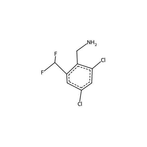 NCc1c(Cl)cc(Cl)cc1C(F)F